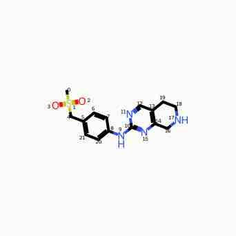 CS(=O)(=O)Cc1ccc(Nc2ncc3c(n2)CNCC3)cc1